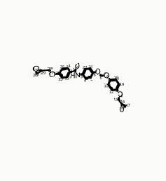 O=C(Nc1ccc(OCOc2ccc(OCC3CO3)cc2)cc1)c1ccc(OCC2CO2)cc1